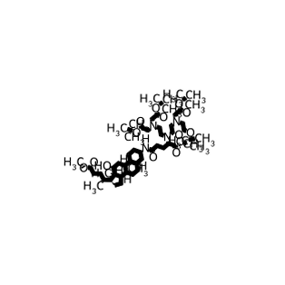 COC(=O)CC[C@@H](C)[C@H]1CC[C@H]2[C@@H]3CC[C@@H]4C[C@@H](NC(=O)CCC(C(=O)OC)N(CCN(CC(=O)OC(C)(C)C)CC(=O)OC(C)(C)C)CCN(CC(=O)OC(C)(C)C)CC(=O)OC(C)(C)C)CC[C@]4(C)[C@H]3C[C@H](O)[C@]12C